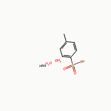 Cc1ccc(S(=O)(=O)S)cc1.O.O.[NaH]